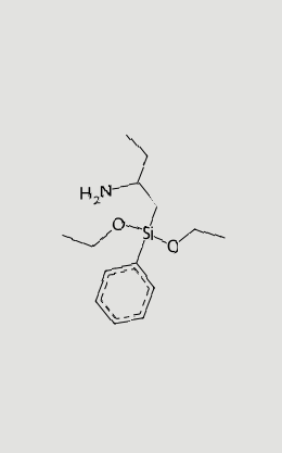 CCO[Si](CC(N)CC)(OCC)c1ccccc1